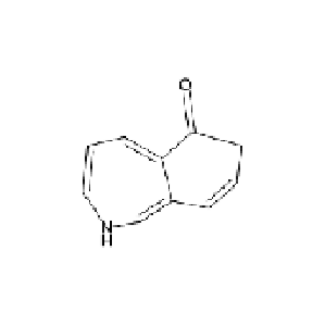 O=C1CC=CC2=CNC=CC=C12